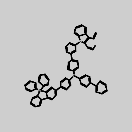 C=Cc1c(/C=C\C)n(-c2cccc(-c3ccc(N(c4ccc(-c5ccccc5)cc4)c4ccc(-c5ccc6c(c5)[Si](c5ccccc5)(c5ccccc5)c5ccccc5-6)cc4)cc3)c2)c2ccccc12